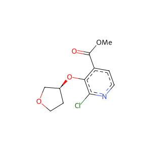 COC(=O)c1ccnc(Cl)c1O[C@H]1CCOC1